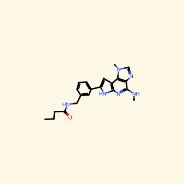 CCCC(=O)NCc1cccc(-c2cc3c(nc(NC)c4ncn(C)c43)[nH]2)c1